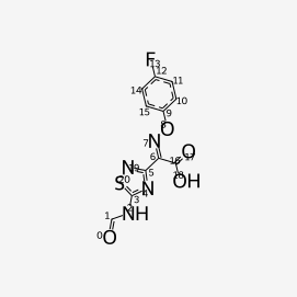 O=CNc1nc(C(=NOc2ccc(F)cc2)C(=O)O)ns1